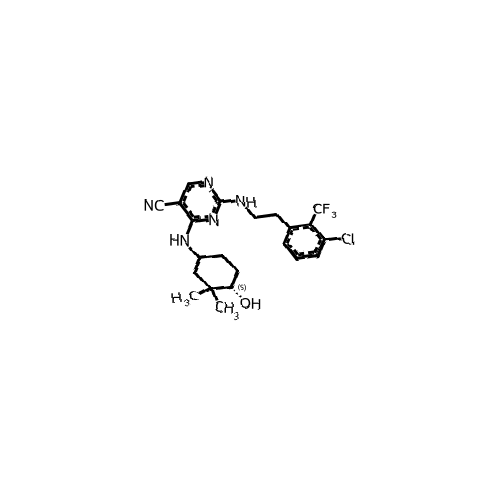 CC1(C)CC(Nc2nc(NCCc3cccc(Cl)c3C(F)(F)F)ncc2C#N)CC[C@@H]1O